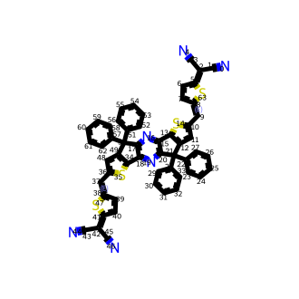 N#CC(C#N)=c1cc/c(=C\c2cc3c(s2)-c2nc4c(nc2C3(c2ccccc2)c2ccccc2)-c2sc(/C=c3\ccc(=C(C#N)C#N)s3)cc2C4(c2ccccc2)c2ccccc2)s1